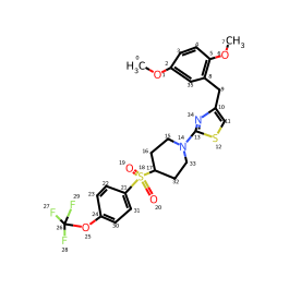 COc1ccc(OC)c(Cc2csc(N3CCC(S(=O)(=O)c4ccc(OC(F)(F)F)cc4)CC3)n2)c1